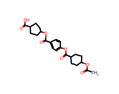 CC(=O)OC1CCC(C(=O)Oc2ccc(C(=O)OC3CCC(C(=O)O)CC3)cc2)CC1